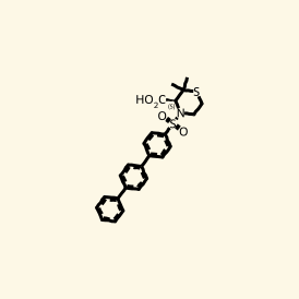 CC1(C)SCCN(S(=O)(=O)c2ccc(-c3ccc(-c4ccccc4)cc3)cc2)[C@H]1C(=O)O